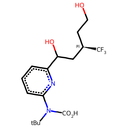 CC(C)(C)N(C(=O)O)c1cccc(C(O)C[C@@H](CCO)C(F)(F)F)n1